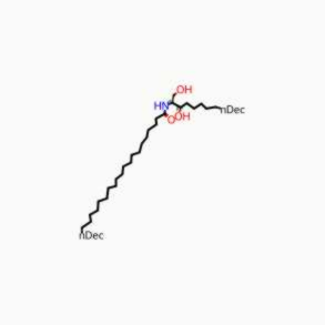 CCCCCCCCCCCCCCCCCCCCCCCCCCCCCC(=O)N[C@@H](CO)[C@H](O)CCCCCCCCCCCCCCC